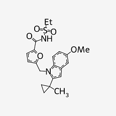 CCS(=O)(=O)NC(=O)c1ccc(Cn2c(C3(C)CC3)cc3cc(OC)ccc32)o1